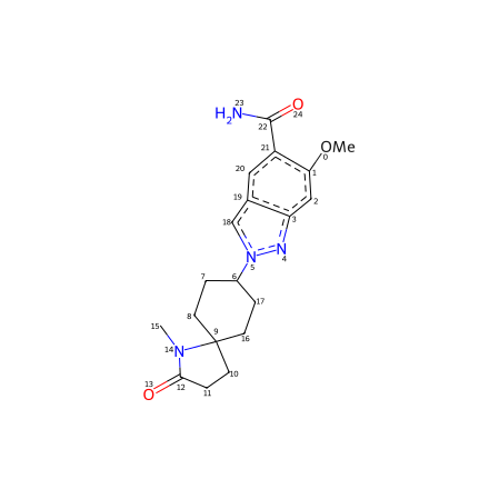 COc1cc2nn(C3CCC4(CCC(=O)N4C)CC3)cc2cc1C(N)=O